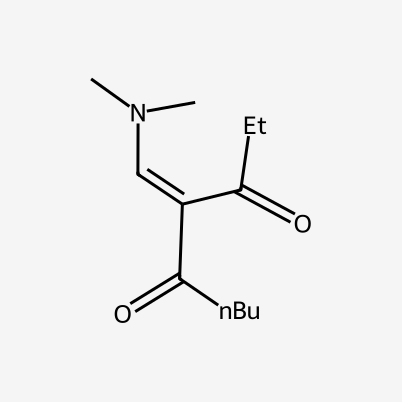 CCCCC(=O)C(=CN(C)C)C(=O)CC